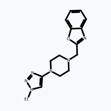 CCn1cc(N2CCN(Cc3nc4ccccc4o3)CC2)nn1